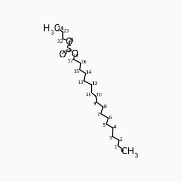 CCCCCCCCCCCCCCCCCCOS(=O)OCCC